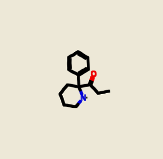 CCC(=O)C1(c2ccccc2)CCCC[N]1